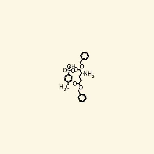 Cc1ccc(S(=O)(=O)O)cc1.N[C@H](CCC(=O)OCc1ccccc1)C(=O)OCc1ccccc1